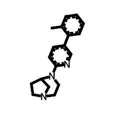 Cc1ccccc1-c1ccc(N2CCN3CCC2C3)nc1